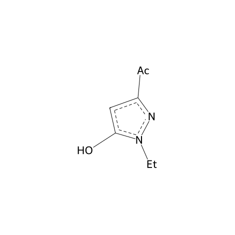 CCn1nc(C(C)=O)cc1O